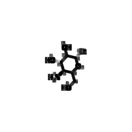 CC[C@@H]1OC(CO)[C@@H](N)[C@H](O)C1O